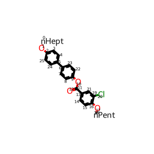 CCCCCCCOc1ccc(-c2ccc(OC(=O)c3ccc(OCCCCC)c(Cl)c3)cc2)cc1